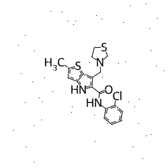 Cc1cc2[nH]c(C(=O)Nc3ccccc3Cl)c(CN3CCSC3)c2s1